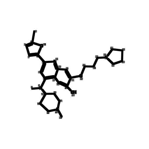 Cc1ccc(-c2cc(N(C)C3CCN(C)CC3)c3cc(O)c(OCCCN4CCCC4)cc3n2)o1